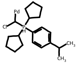 CC(C)c1ccc([PH]([CH](Cl)[Pd])(C2CCCC2)C2CCCC2)cc1